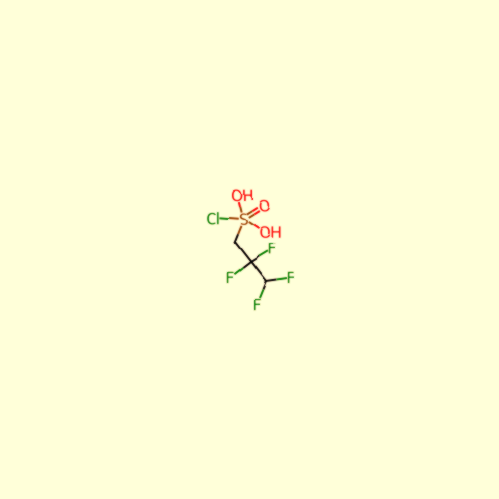 O=S(O)(O)(Cl)CC(F)(F)C(F)F